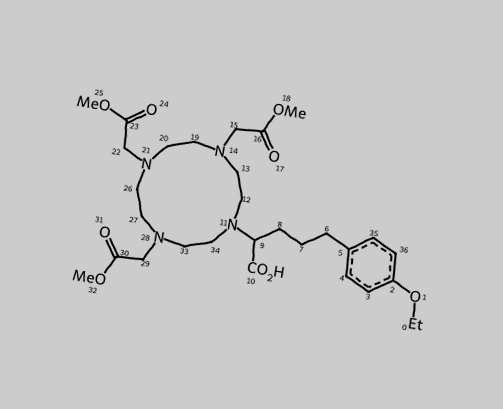 CCOc1ccc(CCCC(C(=O)O)N2CCN(CC(=O)OC)CCN(CC(=O)OC)CCN(CC(=O)OC)CC2)cc1